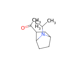 CC(=O)C1CC2CCC1N2C(C)C